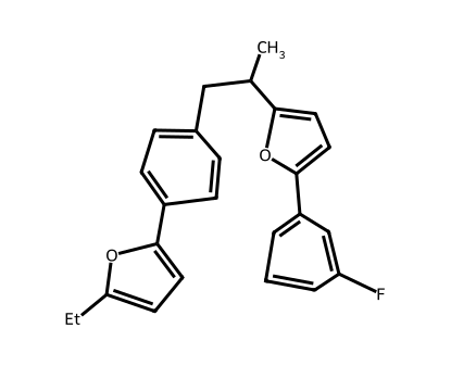 CCc1ccc(-c2ccc(CC(C)c3ccc(-c4cccc(F)c4)o3)cc2)o1